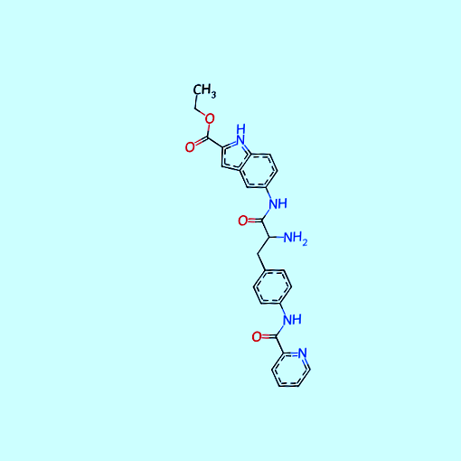 CCOC(=O)c1cc2cc(NC(=O)C(N)Cc3ccc(NC(=O)c4ccccn4)cc3)ccc2[nH]1